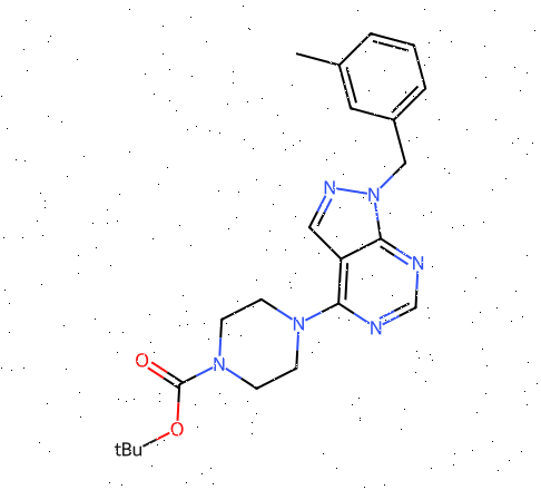 Cc1cccc(Cn2ncc3c(N4CCN(C(=O)OC(C)(C)C)CC4)ncnc32)c1